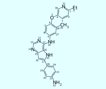 CCc1ccc(Oc2ccc(Nc3ncnc4cc(-c5ccc(N)cc5)[nH]c34)cc2C)cn1